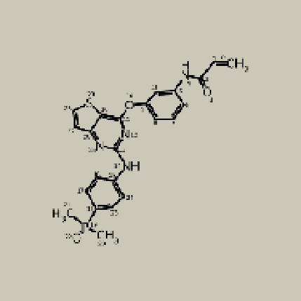 C=CC(=O)Nc1cccc(Oc2nc(Nc3ccc(P(C)(C)=O)cc3)nc3ccsc23)c1